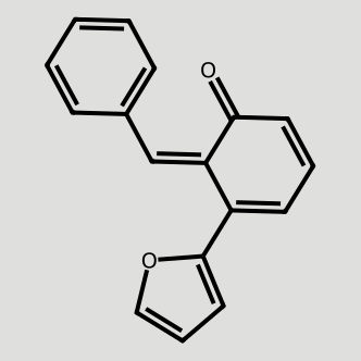 O=C1C=CC=C(c2ccco2)/C1=C/c1ccccc1